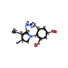 Cc1cn(-c2c(Br)cc(Br)cc2C(F)(F)F)c(N)c1C#N